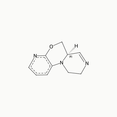 C1=NCCN2c3cccnc3OC[C@@H]12